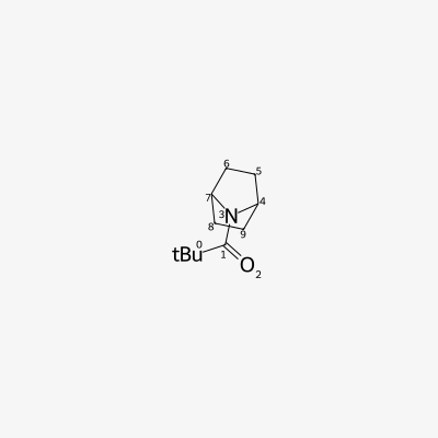 CC(C)(C)C(=O)N1C2CCC1CC2